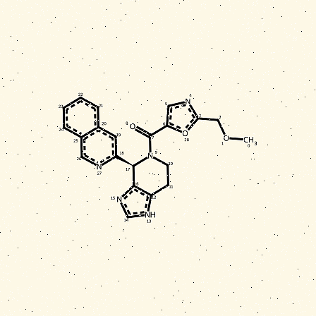 COCc1ncc(C(=O)N2CCc3[nH]cnc3[C@H]2c2cc3ccccc3cn2)o1